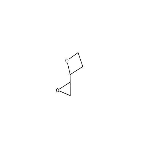 C1C[C](C2CO2)O1